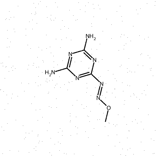 CON=Nc1nc(N)nc(N)n1